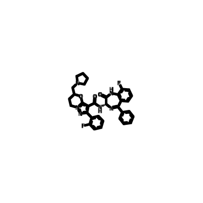 O=C(N[C@H]1N=C(c2ccccc2)c2cccc(F)c2NC1=O)c1c(-c2ccccc2F)nn2c1OC(CN1CCCC1)CC2